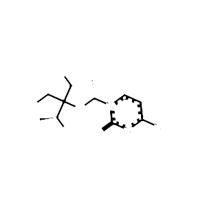 C[C@H](O)C(CO)(CF)O[C@H](C)n1ccc(N)nc1=O